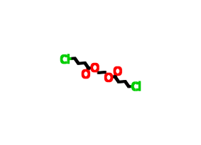 O=C(CCCCl)OCCOC(=O)CCCCl